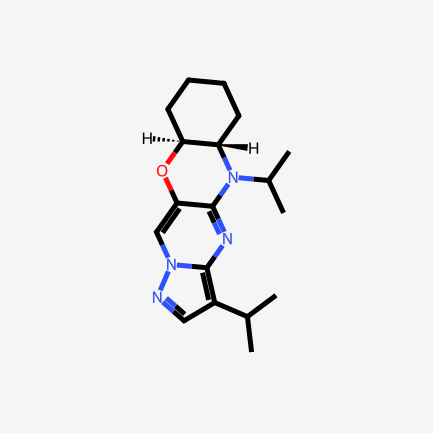 CC(C)c1cnn2cc3c(nc12)N(C(C)C)[C@H]1CCCC[C@@H]1O3